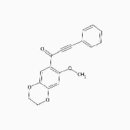 COc1cc2c(cc1C(=O)C#Cc1ccccc1)OCCO2